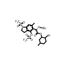 Cc1cc2c(c(OS(=O)(=O)C(F)(F)F)c1[C@H](OC(C)(C)C)C(=O)OC1CC(C)CCC1C(C)C)CCN2S(=O)(=O)C(F)(F)F